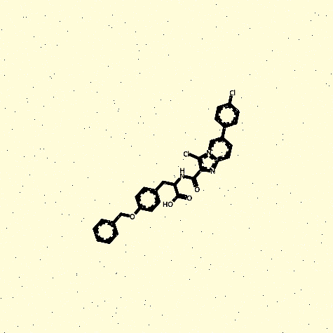 O=C(NC(Cc1ccc(OCc2ccccc2)cc1)C(=O)O)c1nc2ccc(-c3ccc(Cl)cc3)cn2c1Cl